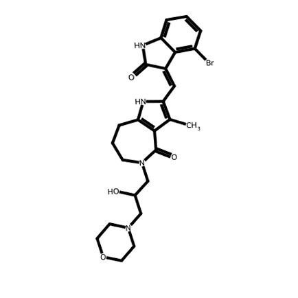 Cc1c(/C=C2\C(=O)Nc3cccc(Br)c32)[nH]c2c1C(=O)N(CC(O)CN1CCOCC1)CCC2